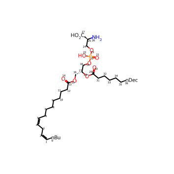 CCCC/C=C\C/C=C\CCCCCCCC(=O)OC[C@H](COP(=O)(O)OC[C@H](N)C(=O)O)OC(=O)CCCCCCCCCCCCCCC